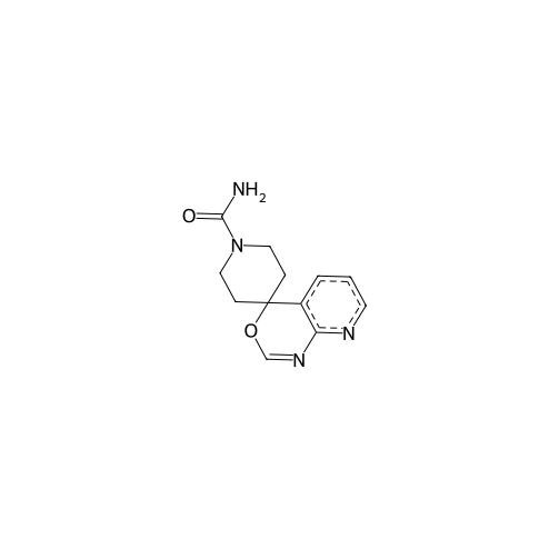 NC(=O)N1CCC2(CC1)OC=Nc1ncccc12